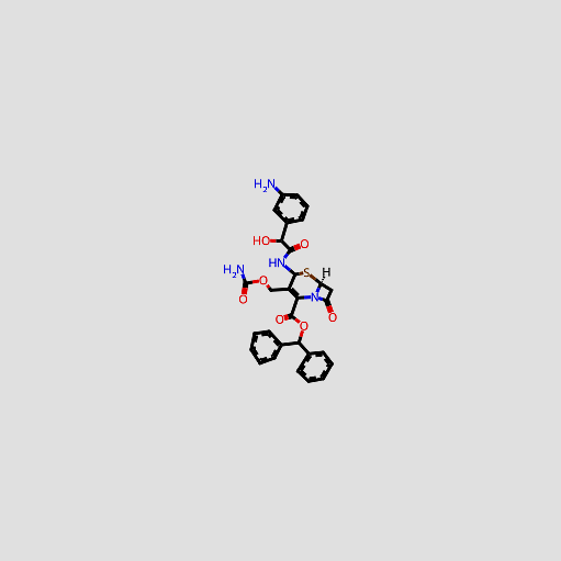 NC(=O)OCC1=C(C(=O)OC(c2ccccc2)c2ccccc2)N2C(=O)C[C@@H]2SC1NC(=O)C(O)c1cccc(N)c1